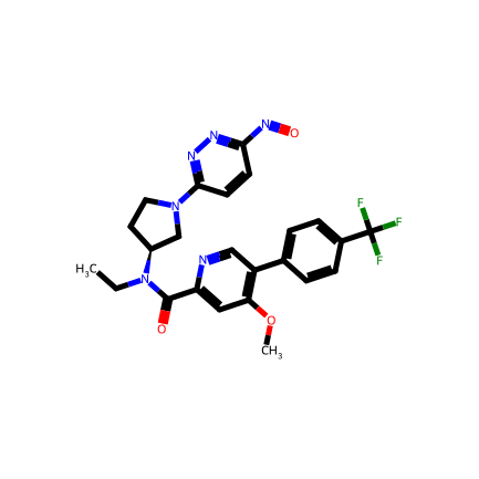 CCN(C(=O)c1cc(OC)c(-c2ccc(C(F)(F)F)cc2)cn1)[C@H]1CCN(c2ccc(N=O)nn2)C1